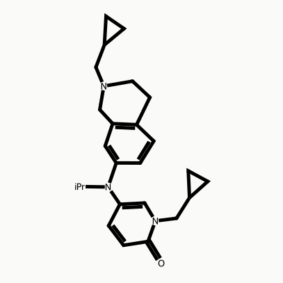 CC(C)N(c1ccc2c(c1)CN(CC1CC1)CC2)c1ccc(=O)n(CC2CC2)c1